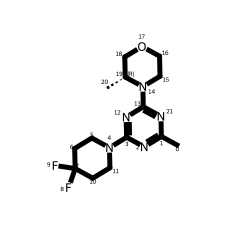 Cc1nc(N2CCC(F)(F)CC2)nc(N2CCOC[C@H]2C)n1